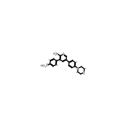 Nc1ncc(-c2ccc(N3CCOCC3)cc2)cc1-c1ccc(C(=O)O)cc1